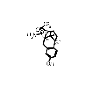 CC1(C)[C@@]2(C)CCN(C(=O)C(F)(F)F)[C@]1(C(N)=O)Cc1cc(O)[c]cc12